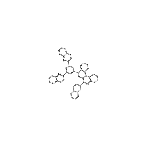 c1ccc2cc(-c3nc4ccccc4c4c3cc(-c3cc(-c5ccc6ccccc6n5)nc(-c5ccc6ccccc6n5)c3)c3ccccc34)ccc2c1